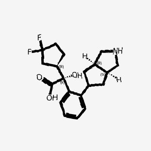 O=C(O)[C@](O)(c1ccccc1C1C[C@H]2CNC[C@H]2C1)[C@@H]1CCC(F)(F)C1